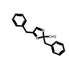 O=CC1(Cc2ccccc2)N=CC(Cc2ccccc2)=N1